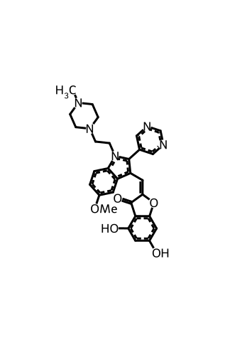 COc1ccc2c(c1)c(C=C1Oc3cc(O)cc(O)c3C1=O)c(-c1cncnc1)n2CCN1CCN(C)CC1